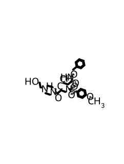 COc1ccc(S(=O)(=O)N(CCC(=O)N2CCN(CCO)CC2)C(C(=O)NOCc2ccccc2)C(C)C)cc1